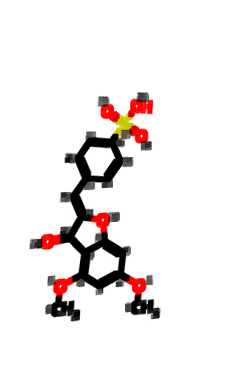 COc1cc(OC)c2c(c1)O/C(=C\c1ccc(S(=O)(=O)O)cc1)C2=O